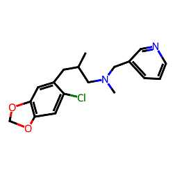 CC(Cc1cc2c(cc1Cl)OCO2)CN(C)Cc1cccnc1